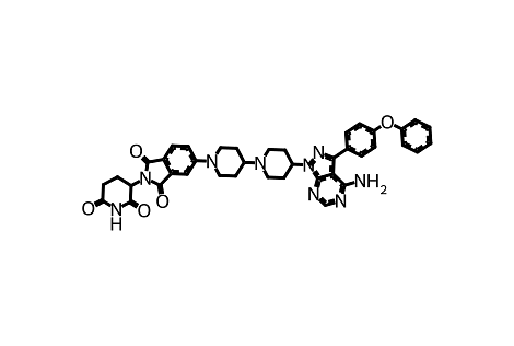 Nc1ncnc2c1c(-c1ccc(Oc3ccccc3)cc1)nn2C1CCN(C2CCN(c3ccc4c(c3)C(=O)N(C3CCC(=O)NC3=O)C4=O)CC2)CC1